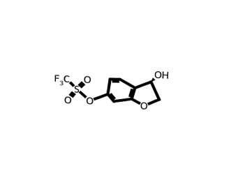 O=S(=O)(Oc1ccc2c(c1)OC[C@@H]2O)C(F)(F)F